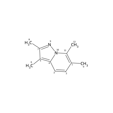 Cc1ccc2c(C)c(C)nn2c1C